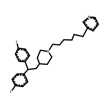 Fc1ccc(C(CC2CCN(CCCCCCc3cccnc3)CC2)c2ccc(F)cc2)cc1